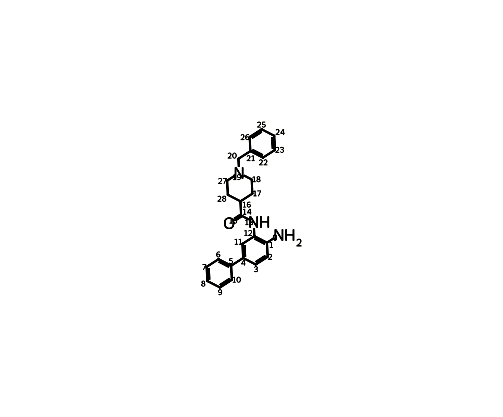 Nc1ccc(-c2ccccc2)cc1NC(=O)C1CCN(Cc2ccccc2)CC1